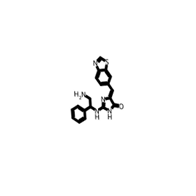 NCC(NC1=N/C(=C\c2ccc3ncsc3c2)C(=O)N1)c1ccccc1